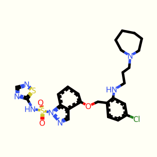 O=S(=O)(Nc1ncns1)n1ncc2c(OCc3ccc(Cl)cc3NCCCN3CCCCCC3)cccc21